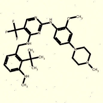 CNc1cccc(CNc2nc(Nc3ccc(N4CCN(C)CC4)cc3OC)ncc2C(F)(F)F)c1C(C)(C)C